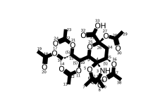 CC(=O)N[C@]1(OC(C)=O)C([C@@H](OC(C)=O)[C@H](COC(C)=O)OC(C)=O)O[C@](OC(C)=O)(C(=O)O)C[C@@H]1OC(C)=O